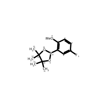 COc1ccc(F)cc1B1OC(C)(C)C(C)(C)O1